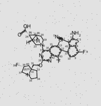 N#Cc1c(N)sc2c(F)ccc(-c3c(Cl)cc4c(N5CC[C@@H]6[C@H](C5)[C@@H]6C(=O)O)nc(OC[C@@]56CCCN5C[C@H](F)C6)nc4c3F)c12